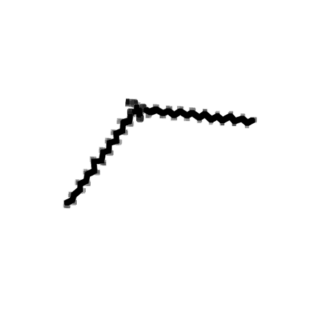 CCCCCCCCCCCCCCCCC=COP(=O)(O)OC=CCCCCCCCCCCCCCCCC